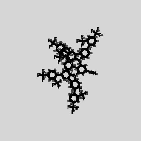 N#Cc1cc(-n2c3ccc(-c4ccc(C(F)(F)F)cc4C(F)(F)F)cc3c3cc(-c4ccc(C(F)(F)F)cc4C(F)(F)F)ccc32)c(-c2cccc(-c3ccccc3)n2)c(-n2c3ccc(-c4ccc(C(F)(F)F)cc4C(F)(F)F)cc3c3cc(-c4ccc(C(F)(F)F)cc4C(F)(F)F)ccc32)c1